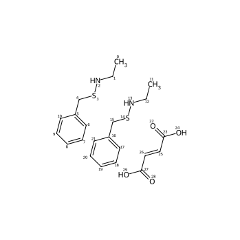 CCNSCc1ccccc1.CCNSCc1ccccc1.O=C(O)/C=C/C(=O)O